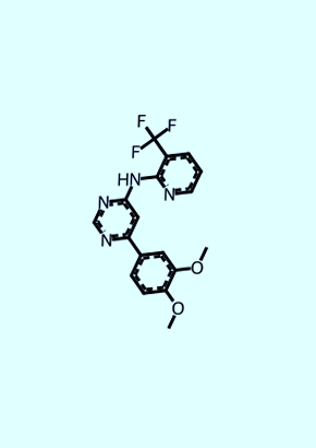 COc1ccc(-c2cc(Nc3ncccc3C(F)(F)F)ncn2)cc1OC